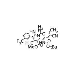 C=C/C(C#N)=C\C=C(/NC(=O)OC(C)(C)C)[C@@H]1C(C(=O)OC)=C(C)N(c2cccc(C(F)(F)F)c2)C(=N)N1C(N)=O